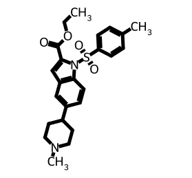 CCOC(=O)c1cc2cc(C3CCN(C)CC3)ccc2n1S(=O)(=O)c1ccc(C)cc1